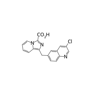 O=C(O)c1nc(Cc2ccc3ncc(Cl)cc3c2)c2ccccn12